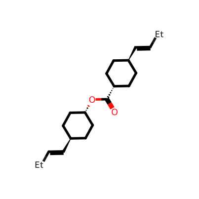 CC/C=C/[C@H]1CC[C@H](OC(=O)[C@H]2CC[C@H](/C=C/CC)CC2)CC1